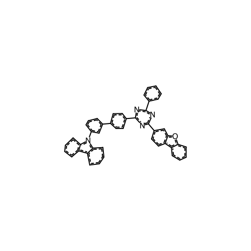 c1ccc(-c2nc(-c3ccc(-c4cccc(-n5c6ccccc6c6ccccc65)c4)cc3)nc(-c3ccc4c(c3)oc3ccccc34)n2)cc1